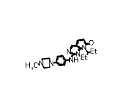 CCC(CC)n1c(=O)ccc2cnc(Nc3ccc(N4CCN(C)CC4)cc3)nc21